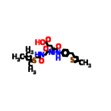 CCCC(C)(CC)SCC(=O)NCC(=O)N[C@@H](CCC(=O)O)C(=O)Nc1ccc(Cc2cc(C)cs2)cc1